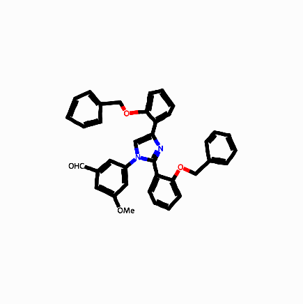 COc1cc(C=O)cc(-n2cc(-c3ccccc3OCc3ccccc3)nc2-c2ccccc2OCc2ccccc2)c1